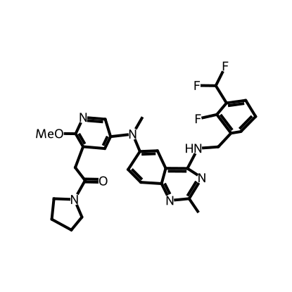 COc1ncc(N(C)c2ccc3nc(C)nc(NCc4cccc(C(F)F)c4F)c3c2)cc1CC(=O)N1CCCC1